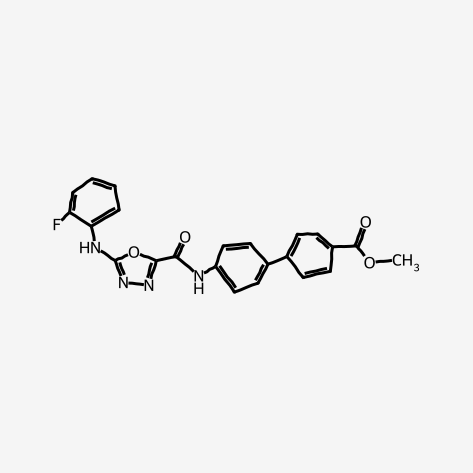 COC(=O)c1ccc(-c2ccc(NC(=O)c3nnc(Nc4ccccc4F)o3)cc2)cc1